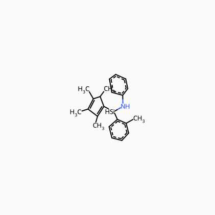 CC1=C(C)C(C)C([SiH](Nc2ccccc2)c2ccccc2C)=C1C